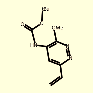 C=Cc1cc(NC(=O)OC(C)(C)C)c(OC)nn1